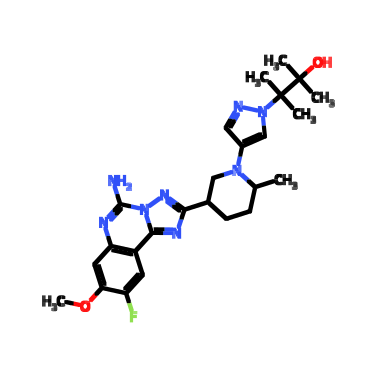 COc1cc2nc(N)n3nc(C4CCC(C)N(c5cnn(C(C)(C)C(C)(C)O)c5)C4)nc3c2cc1F